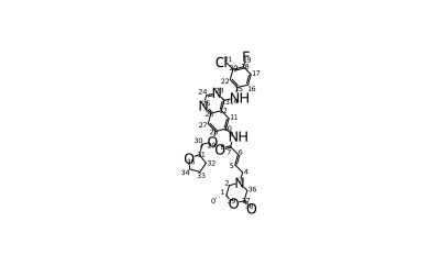 C[C@@H]1CN(CC=CC(=O)Nc2cc3c(Nc4ccc(F)c(Cl)c4)ncnc3cc2OC[C@H]2CCCO2)CC(=O)O1